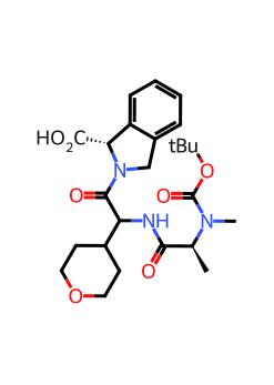 C[C@@H](C(=O)NC(C(=O)N1Cc2ccccc2[C@H]1C(=O)O)C1CCOCC1)N(C)C(=O)OC(C)(C)C